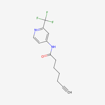 C#CCCCCC(=O)Nc1ccnc(C(F)(F)F)c1